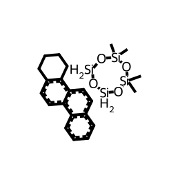 C[Si]1(C)O[SiH2]O[SiH2]O[Si](C)(C)O1.c1ccc2c(c1)ccc1c3c(ccc12)CCCC3